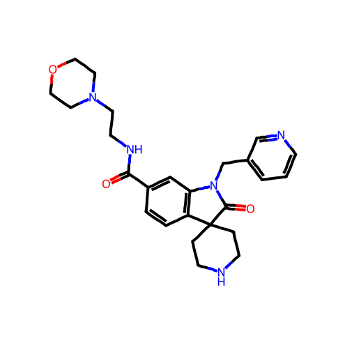 O=C(NCCN1CCOCC1)c1ccc2c(c1)N(Cc1cccnc1)C(=O)C21CCNCC1